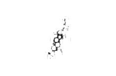 CCNC(=O)O[C@H](C(C)C)[C@H]1C[C@@H](C)[C@H]2[C@H](O1)[C@H](O)[C@@]1(C)[C@@H]3CC[C@H]4C(C)(C)[C@@H](OC(N)=O)CC[C@@]45C[C@@]35CC[C@]21C